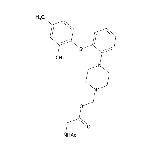 CC(=O)NCC(=O)OCN1CCN(c2ccccc2Sc2ccc(C)cc2C)CC1